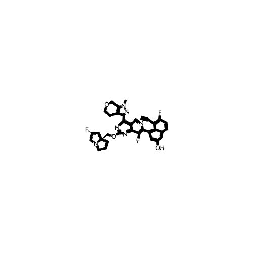 C#Cc1c(F)ccc2cc(O)cc(-c3ncc4c(-c5nn(C)c6c5CCOC6)nc(OC[C@@]56CCCN5C[C@H](F)C6)nc4c3F)c12